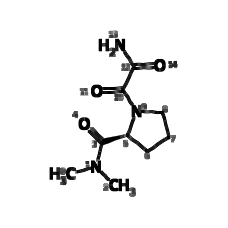 CN(C)C(=O)[C@@H]1CCCN1C(=O)C(N)=O